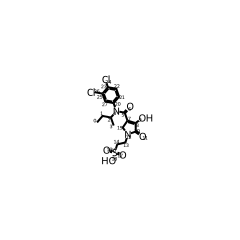 CCC(C)N(C(=O)C1=C(O)C(=O)N(CCS(=O)(=O)O)C1)c1ccc(Cl)c(Cl)c1